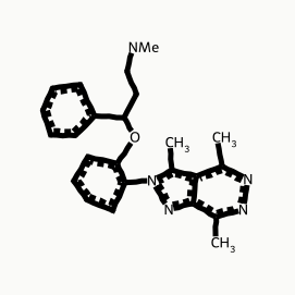 CNCCC(Oc1ccccc1-n1nc2c(C)nnc(C)c2c1C)c1ccccc1